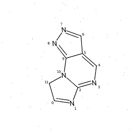 C1=Nc2ncc3cnnc-3n2C1